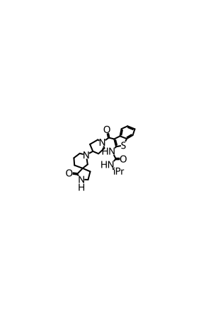 CC(C)NC(=O)Nc1sc2ccccc2c1C(=O)N1CCC(N2CCCC3(CCNC3=O)C2)CC1